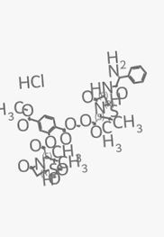 COC(=O)c1ccc(C(=O)OCOC(=O)[C@@H]2N3C(=O)[C@@H](NC(=O)C(N)c4ccccc4)[C@H]3SC2(C)C)c(OC(=O)[C@@H]2N3C(=O)C[C@H]3S(=O)(=O)C2(C)C)c1.Cl